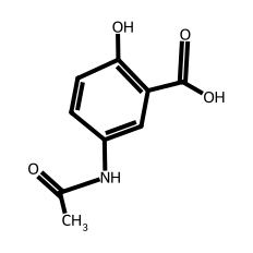 CC(=O)Nc1ccc(O)c(C(=O)O)c1